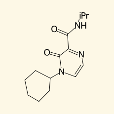 CC(C)NC(=O)c1nccn(C2CCCCC2)c1=O